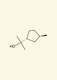 C[C@@H]1CC[C@@H](C(C)(C)O)C1